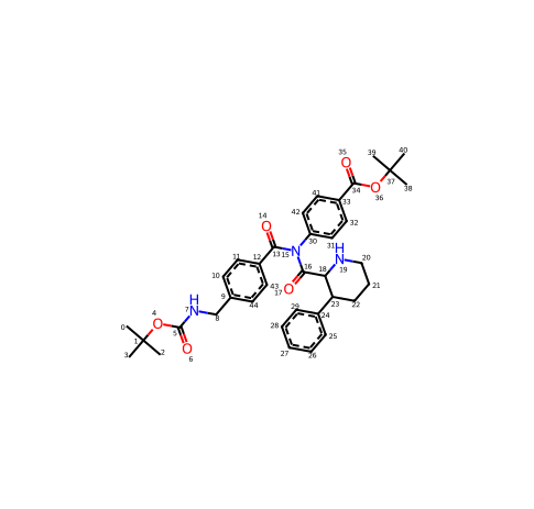 CC(C)(C)OC(=O)NCc1ccc(C(=O)N(C(=O)C2NCCCC2c2ccccc2)c2ccc(C(=O)OC(C)(C)C)cc2)cc1